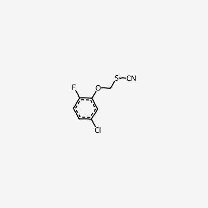 N#CSCOc1cc(Cl)ccc1F